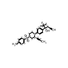 C#CC[C@@](O)(c1ccc(N2CCN(S(=O)(=O)c3ccc(N)nc3)C[C@@H]2C#CC)cc1)C(F)(F)F